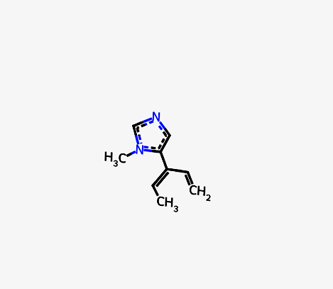 C=C/C(=C\C)c1cncn1C